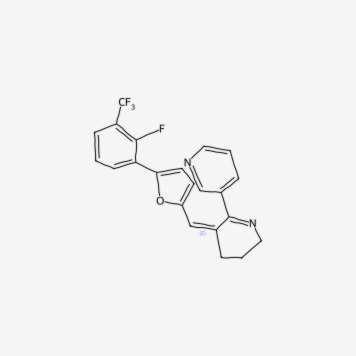 Fc1c(-c2ccc(/C=C3/CCCN=C3c3cccnc3)o2)cccc1C(F)(F)F